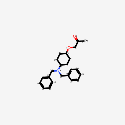 CC(C)C(=O)COC1CCC(N(Cc2ccccc2)Cc2ccccc2)CC1